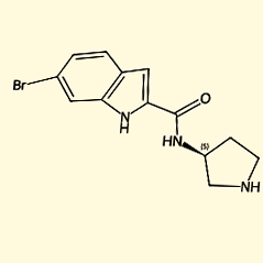 O=C(N[C@H]1CCNC1)c1cc2ccc(Br)cc2[nH]1